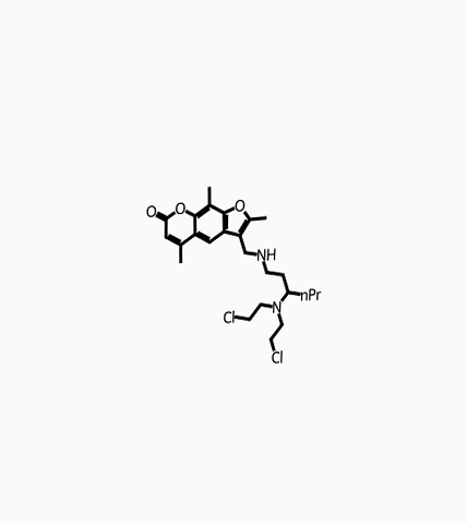 CCCC(CCNCc1c(C)oc2c(C)c3oc(=O)cc(C)c3cc12)N(CCCl)CCCl